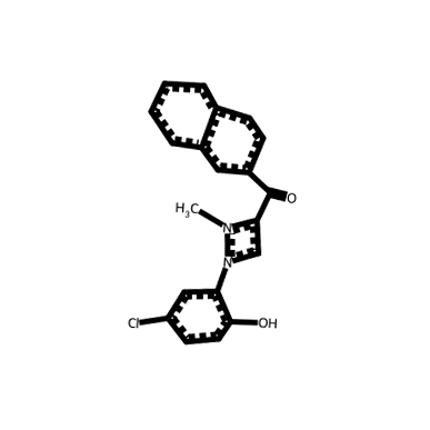 Cn1c(C(=O)c2ccc3ccccc3c2)cn1-c1cc(Cl)ccc1O